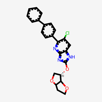 Clc1cc2[nH]c(O[C@H]3COC4CCOC43)nc2nc1-c1ccc(-c2ccccc2)cc1